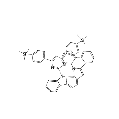 C[Si](C)(C)c1ccc(-c2cc(-c3ccc([Si](C)(C)C)cc3)nc(-n3c4ccccc4c4ccc5cc6c7ccccc7c7ccccc7n6c5c43)n2)cc1